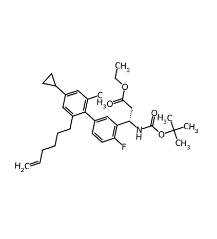 C=CCCCCc1cc(C2CC2)cc(C)c1-c1ccc(F)c([C@H](CC(=O)OCC)NC(=O)OC(C)(C)C)c1